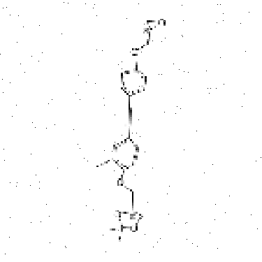 Cc1cc(C#Cc2ccc(OC[C@H]3CO3)cc2)ccc1OC[C@H]1COC(C)(C)O1